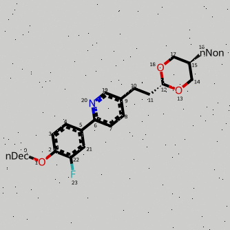 CCCCCCCCCCOc1ccc(-c2ccc(CC[C@H]3OC[C@H](CCCCCCCCC)CO3)cn2)cc1F